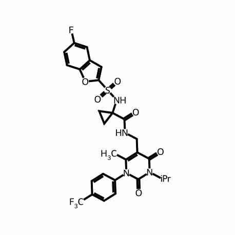 Cc1c(CNC(=O)C2(NS(=O)(=O)c3cc4cc(F)ccc4o3)CC2)c(=O)n(C(C)C)c(=O)n1-c1ccc(C(F)(F)F)cc1